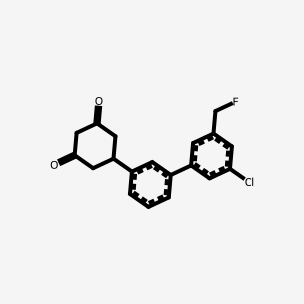 O=C1CC(=O)CC(c2cccc(-c3cc(Cl)cc(CF)c3)c2)C1